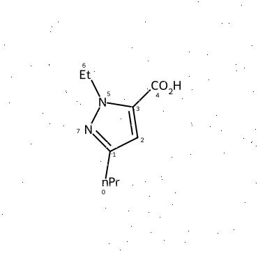 CCCc1cc(C(=O)O)n(CC)n1